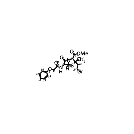 COC(=O)C1N2C(=O)C(NC(=O)COc3ccccc3)[C@H]2SC1(C)CCBr